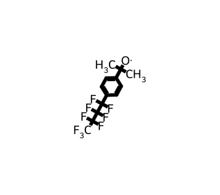 CC(C)([O])c1ccc(C(F)(F)C(F)(F)C(F)(F)C(F)(F)F)cc1